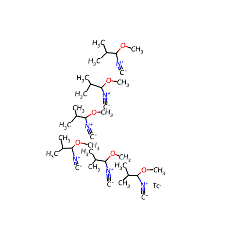 [C-]#[N+]C(OC)C(C)C.[C-]#[N+]C(OC)C(C)C.[C-]#[N+]C(OC)C(C)C.[C-]#[N+]C(OC)C(C)C.[C-]#[N+]C(OC)C(C)C.[C-]#[N+]C(OC)C(C)C.[Tc]